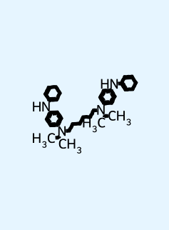 CC(C)N(CCCCCCN(c1ccc(NC2=CCCC=C2)cc1)C(C)C)c1ccc(NC2=CCCC=C2)cc1